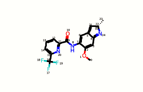 COc1cc2c(cc1NC(=O)c1cccc(C(F)(F)F)n1)=C[C@H](C)N=2